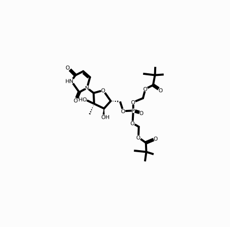 CC(C)(C)C(=O)OCOP(=O)(OCOC(=O)C(C)(C)C)OC[C@H]1OC(n2ccc(=O)[nH]c2=O)[C@](C)(O)[C@@H]1O